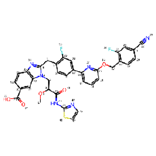 COC(Cn1c(Cc2ccc(-c3cccc(OCc4ccc(C#N)cc4F)n3)cc2F)nc2ccc(C(=O)O)cc21)C(=O)Nc1nccs1